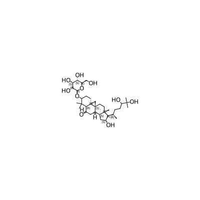 C[C@H](CCC(O)C(C)(C)O)[C@H]1[C@@H](O)C[C@@]2(C)[C@@H]3CC(=O)[C@H]4C(C)(C)C(O[C@@H]5O[C@H](CO)[C@@H](O)[C@H](O)[C@H]5O)CC[C@@]45C[C@@]35CC[C@]12C